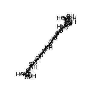 CC(=O)NC1C(OCC(=O)NCCOCCOCCOCCOCCC(=O)CNCCOCCOCCOCCOCCC(=O)NCCOC2CC(CO)C(O)C(O)C2C)OC(CO)C(O)C1O